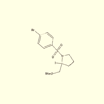 COCC1(I)CCCN1S(=O)(=O)c1ccc(Br)cc1